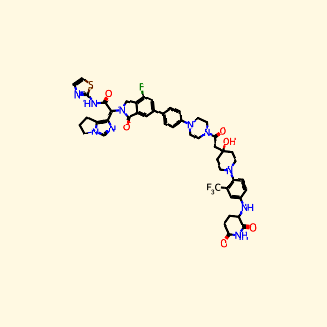 O=C1CCC(Nc2ccc(N3CCC(O)(CC(=O)N4CCN(c5ccc(-c6cc(F)c7c(c6)C(=O)N(C(C(=O)Nc6nccs6)c6ncn8c6CCC8)C7)cc5)CC4)CC3)c(C(F)(F)F)c2)C(=O)N1